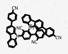 N#Cc1ccc(-c2ccc3c4ccccc4n(-c4ccc(-c5c(C#N)cccc5C(F)(F)F)c(-n5c6ccccc6c6ccc(-c7ccc(C#N)cc7)cc65)c4C#N)c3c2)cc1